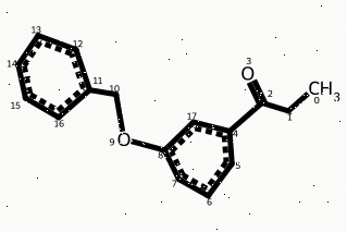 CCC(=O)c1cccc(OCc2ccccc2)c1